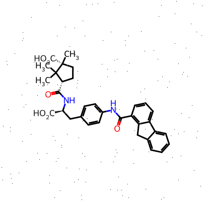 CC1(C)[C@@H](C(=O)N[C@@H](Cc2ccc(NC(=O)c3cccc4c3Cc3ccccc3-4)cc2)C(=O)O)CC[C@@]1(C)C(=O)O